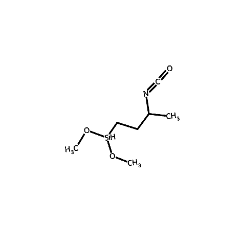 CO[SiH](CCC(C)N=C=O)OC